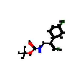 CC(C)(C)OC(=O)NC/C(=C/F)c1ccc(Cl)cc1